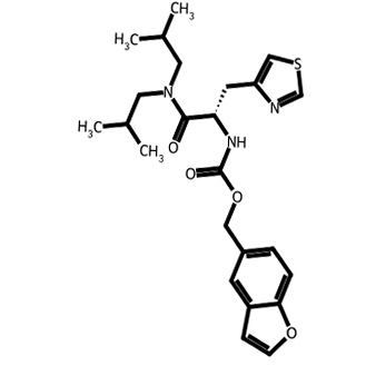 CC(C)CN(CC(C)C)C(=O)[C@H](Cc1cscn1)NC(=O)OCc1ccc2occc2c1